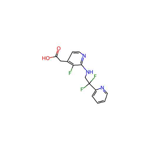 O=C(O)Cc1ccnc(NCC(F)(F)c2ccccn2)c1F